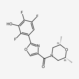 C[C@@H]1CN(C(=O)c2coc(-c3cc(F)c(F)c(O)c3F)n2)C[C@H](C)O1